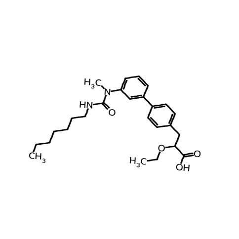 CCCCCCCNC(=O)N(C)c1cccc(-c2ccc(CC(OCC)C(=O)O)cc2)c1